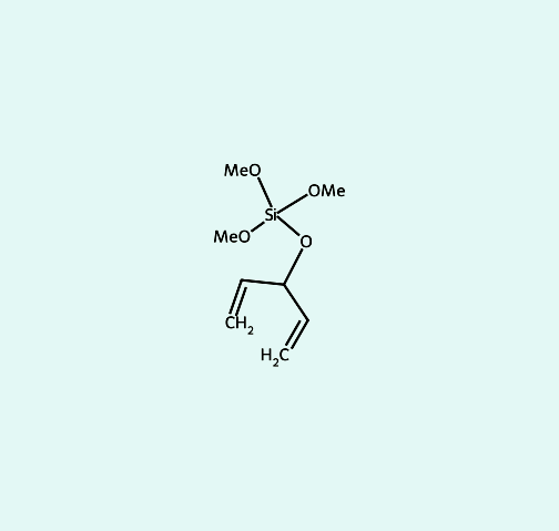 C=CC(C=C)O[Si](OC)(OC)OC